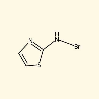 BrNc1nccs1